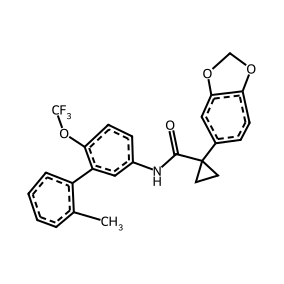 Cc1ccccc1-c1cc(NC(=O)C2(c3ccc4c(c3)OCO4)CC2)ccc1OC(F)(F)F